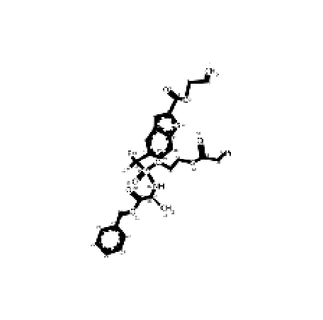 C=CCOC(=O)c1cc2cc(C(F)(F)P(=O)(N[C@@H](C)C(=O)OCc3ccccc3)OCCSC(=O)CC(C)C)ccc2s1